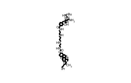 CCCCNc1nc(N)c2nc(O)n(Cc3ccc(C(=O)NCCCNCCCCNCCCNC(=O)O[C@H]4CC[C@@]5(C)C(=CC[C@H]6[C@@H]7CC[C@H]([C@H](C)CCCC(C)C)[C@H]7CC[C@@H]65)C4)cc3)c2n1